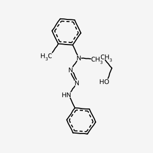 CCO.Cc1ccccc1N(C)N=NNc1ccccc1